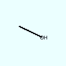 CCCCCC=CCC=CCCCCCCCCCCCCO